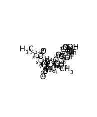 CCCCC(C[C@H]1CC(OC=O)[C@@H]2[C@H](CC(OC=O)[C@]3(C)[C@@H]([C@H](C)CCC(=O)OC(C(F)(F)F)C(F)(F)S(=O)(=O)O)CC[C@@H]23)C1)OC=O